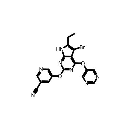 CCc1[nH]c2nc(Oc3cncc(C#N)c3)nc(Oc3cncnc3)c2c1Br